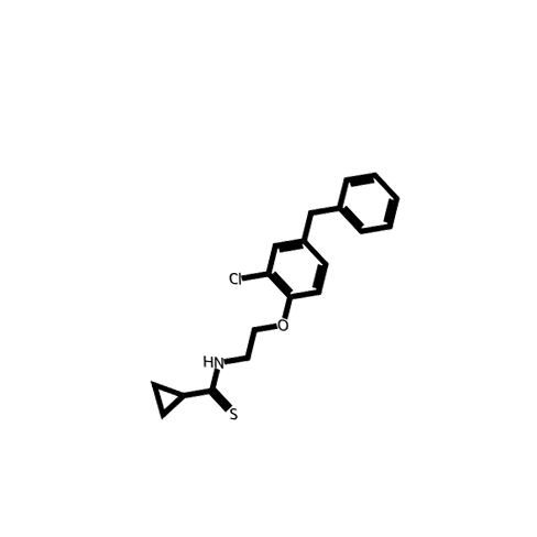 S=C(NCCOc1ccc(Cc2ccccc2)cc1Cl)C1CC1